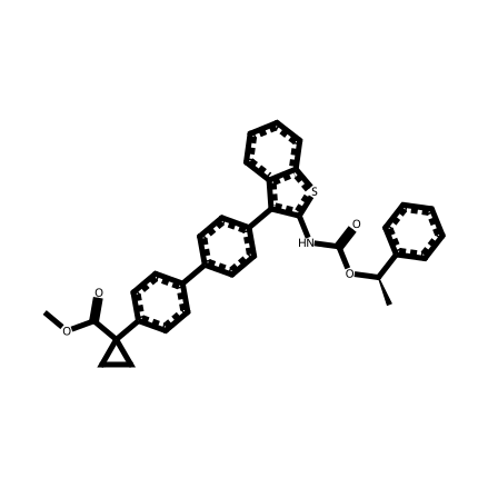 COC(=O)C1(c2ccc(-c3ccc(-c4c(NC(=O)O[C@H](C)c5ccccc5)sc5ccccc45)cc3)cc2)CC1